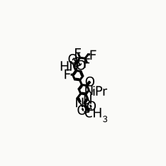 CC(C)n1c(=O)c(-c2ccc(NS(=O)(=O)C(F)C(F)CF)c(F)c2)cc2cnc(S(C)(=O)=O)nc21